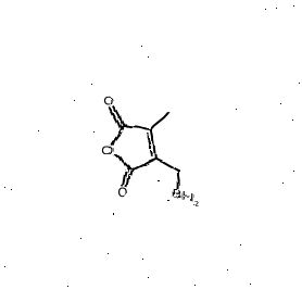 BCC1=C(C)C(=O)OC1=O